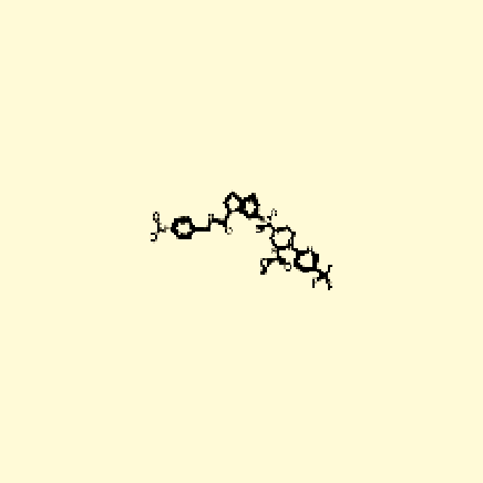 COC(=O)[C@H]1CN(S(=O)(=O)c2ccc3c(c2)C(C(=O)OCc2ccc([N+](=O)[O-])cc2)CC3)CCN1c1ccc(C(F)(F)F)cn1